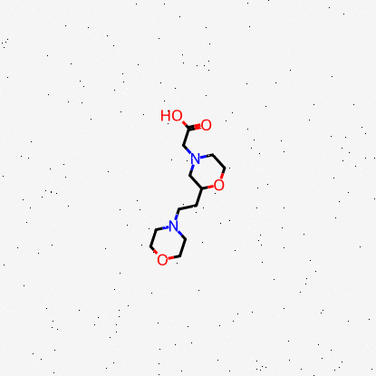 O=C(O)CN1CCOC(CCN2CCOCC2)C1